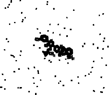 CC1(COc2c(N3CCN(S(=O)(=O)Cc4c(N)cccc4C#N)CC3)cnn(-c3cccc(Cl)c3)c2=O)CC1